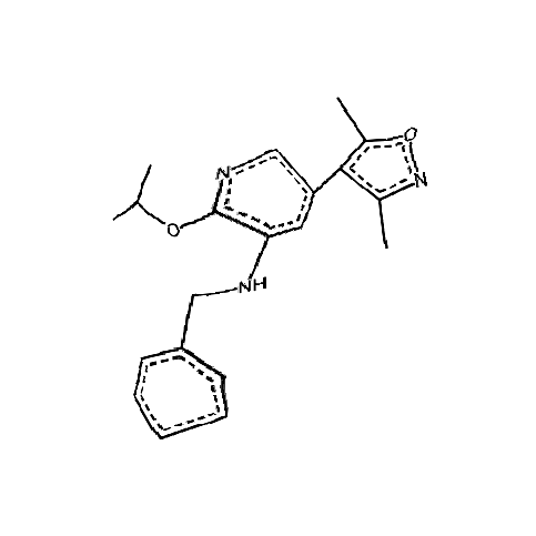 Cc1noc(C)c1-c1cnc(OC(C)C)c(NCc2ccccc2)c1